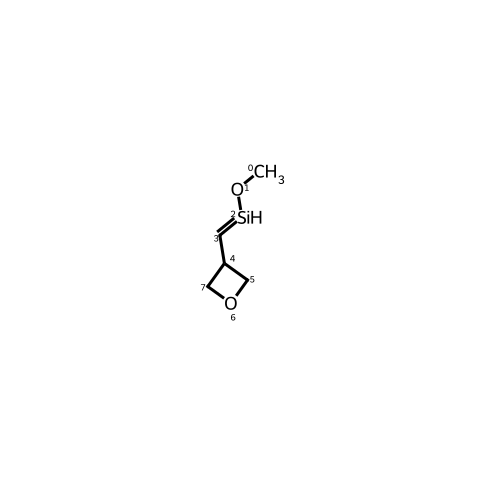 CO[SiH]=CC1COC1